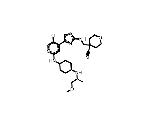 COC[C@H](C)NC1CCC(Nc2cc(-c3csc(NCC4(C#N)CCOCC4)n3)c(Cl)cn2)CC1